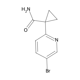 NC(=O)C1(c2ccc(Br)cn2)CC1